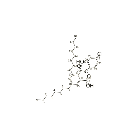 CCCCCCCCc1cc(CCCCCCCC)c(C(=O)Oc2ccc(Cl)cc2O)c(C(=O)O)c1